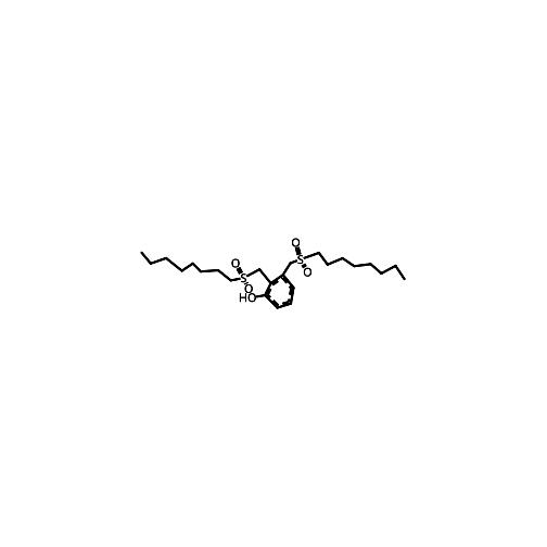 CCCCCCCCS(=O)(=O)Cc1cccc(O)c1CS(=O)(=O)CCCCCCCC